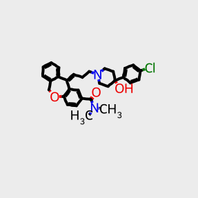 CN(C)C(=O)c1ccc2c(c1)C(=CCCN1CCC(O)(c3ccc(Cl)cc3)CC1)c1ccccc1CO2